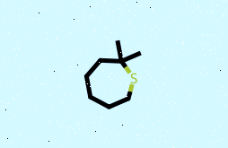 CC1(C)CCCCCS1